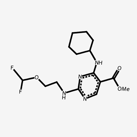 COC(=O)c1cnc(NCCOC(F)F)nc1NC1CCCCC1